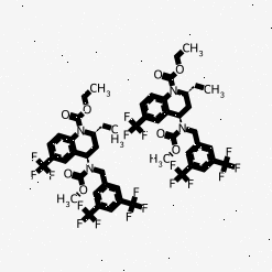 CCOC(=O)N1c2ccc(C(F)(F)F)cc2[C@@H](N(Cc2cc(C(F)(F)F)cc(C(F)(F)F)c2)C(=O)OC)C[C@H]1CC.CCOC(=O)N1c2ccc(C(F)(F)F)cc2[C@@H](N(Cc2cc(C(F)(F)F)cc(C(F)(F)F)c2)C(=O)OC)C[C@H]1CC